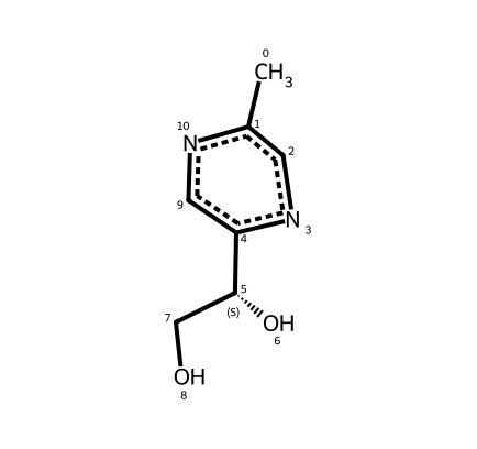 Cc1cnc([C@H](O)CO)cn1